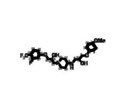 COc1ccc(OC[C@@H](O)CNC2CCN(C[C@@H](O)COc3ccc(C(F)(F)F)c(F)c3)CC2)cc1